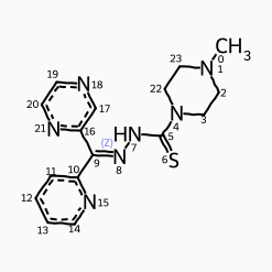 CN1CCN(C(=S)N/N=C(/c2ccccn2)c2cnccn2)CC1